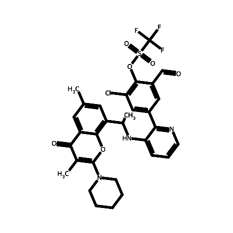 Cc1cc(C(C)Nc2cccnc2-c2cc(Cl)c(OS(=O)(=O)C(F)(F)F)c(C=O)c2)c2oc(N3CCCCC3)c(C)c(=O)c2c1